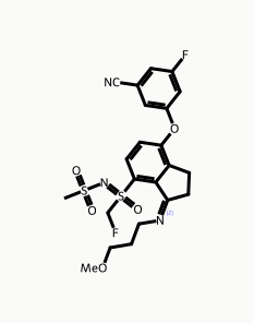 COCCC/N=C1/CCc2c(Oc3cc(F)cc(C#N)c3)ccc(S(=O)(CF)=NS(C)(=O)=O)c21